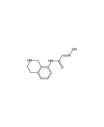 O=C(C=NO)Nc1cccc2c1CNCC2